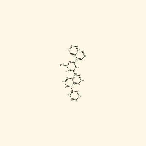 Clc1nc(-c2cccc3ccccc23)nc(-c2cccc3c(-c4ccccc4)cccc23)n1